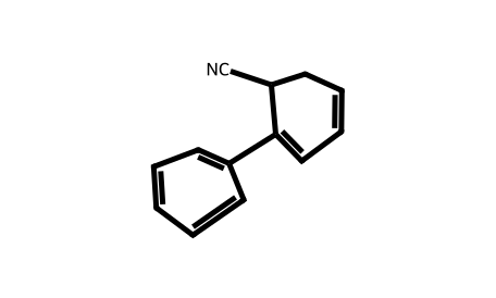 N#CC1CC=CC=C1c1ccccc1